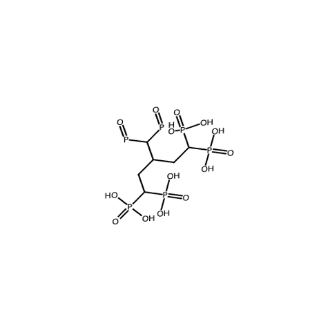 O=PC(P=O)C(CC(P(=O)(O)O)P(=O)(O)O)CC(P(=O)(O)O)P(=O)(O)O